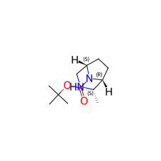 C[C@@H]1NC[C@@H]2CC[C@H]1N2C(=O)OC(C)(C)C